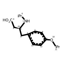 CC(C)N[C@H](CC(=O)O)Cc1ccc(OC(C)C)cc1